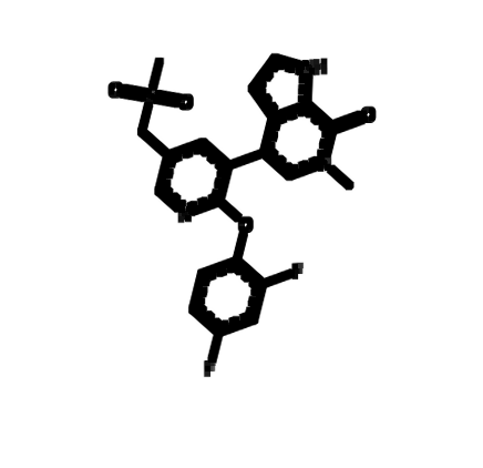 Cn1cc(-c2cc(CS(C)(=O)=O)cnc2Oc2ccc(F)cc2F)c2cc[nH]c2c1=O